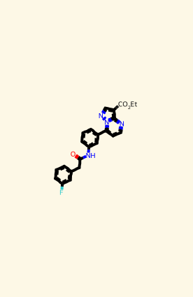 CCOC(=O)c1cnn2c(-c3cccc(NC(=O)Cc4cccc(F)c4)c3)ccnc12